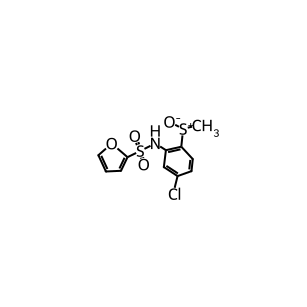 C[S+]([O-])c1ccc(Cl)cc1NS(=O)(=O)c1ccco1